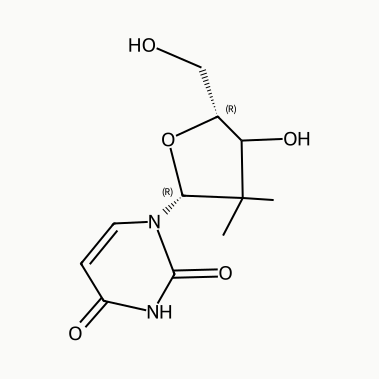 CC1(C)C(O)[C@@H](CO)O[C@H]1n1ccc(=O)[nH]c1=O